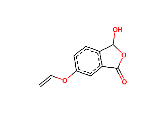 C=COc1ccc2c(c1)C(=O)OC2O